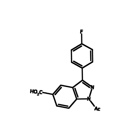 CC(=O)n1nc(-c2ccc(F)cc2)c2cc(C(=O)O)ccc21